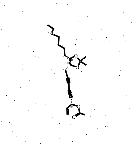 C=C[C@H](C#CC#CC[C@H]1OC(C)(C)O[C@@H]1CCCCCCC)OC(C)=O